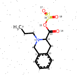 CCCN1Cc2ccccc2CC1C(=O)O[SH](=O)=O